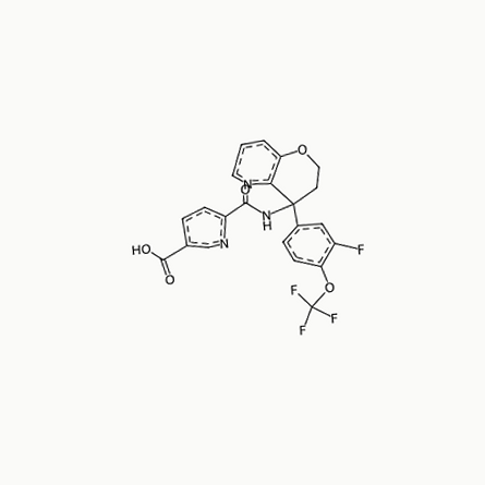 O=C(O)c1ccc(C(=O)NC2(c3ccc(OC(F)(F)F)c(F)c3)CCOc3cccnc32)nc1